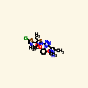 COc1cccc(OC)c1-n1c(NSC(C)C(OC)c2ncc(Cl)s2)nnc1-c1cc(C)[nH]n1